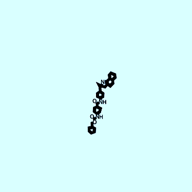 NC1(Cc2ccc3ccccc3c2)CC1c1ccc(NC(=O)c2ccc(NC(=O)OCc3ccccc3)cc2)cc1